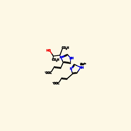 O=C(O)CC(O)C(=O)O.O=C([O-])C=Cc1c[nH]cn1.O=C([O-])C=Cc1c[nH]cn1.[Se+2]